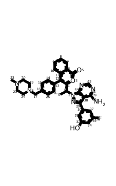 CC(c1oc(=O)c2ccccc2c1-c1ccc(CN2CCN(C)CC2)cc1)n1nc(-c2cc(O)cc(F)c2)c2c(N)ncnc21